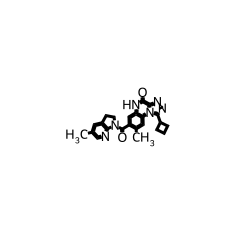 Cc1cnc2c(c1)CCN2C(=O)c1cc2[nH]c(=O)c3nnc(C4CCC4)n3c2cc1C